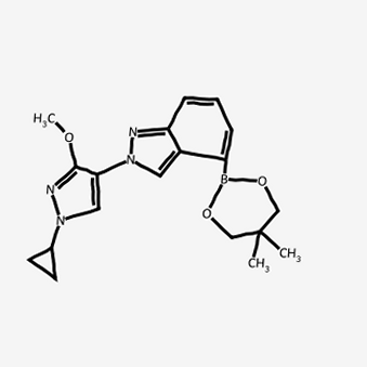 COc1nn(C2CC2)cc1-n1cc2c(B3OCC(C)(C)CO3)cccc2n1